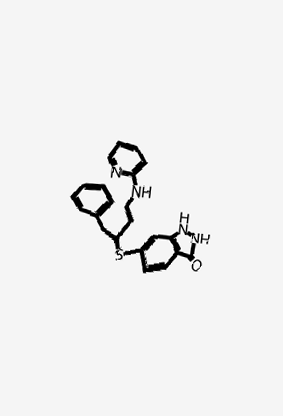 O=c1[nH][nH]c2cc(SC(CCNc3ccccn3)Cc3ccccc3)ccc12